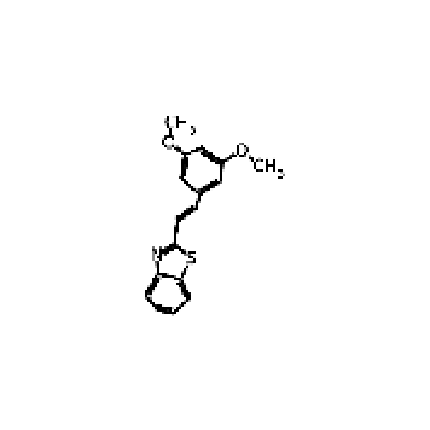 COc1cc(C=Cc2nc3ccccc3s2)cc(OC)c1